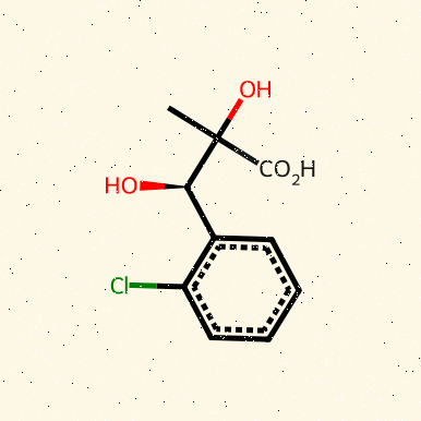 CC(O)(C(=O)O)[C@H](O)c1ccccc1Cl